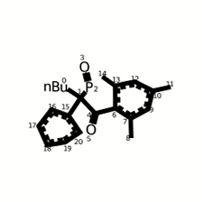 CCCCC(P=O)(C(=O)c1c(C)cc(C)cc1C)c1ccccc1